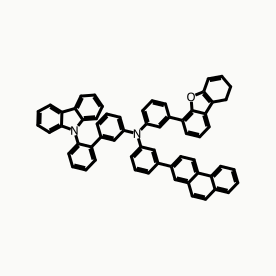 C1=Cc2oc3c(-c4cccc(N(c5cccc(-c6ccc7c(ccc8ccccc87)c6)c5)c5cccc(-c6ccccc6-n6c7ccccc7c7ccccc76)c5)c4)cccc3c2CC1